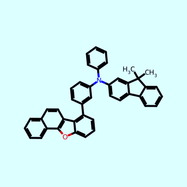 CC1(C)c2ccccc2-c2ccc(N(c3ccccc3)c3cccc(-c4cccc5oc6c7ccccc7ccc6c45)c3)cc21